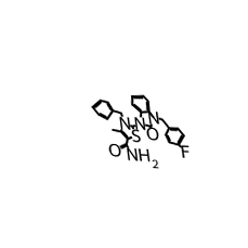 CC1=C(C(N)=O)SC(n2c(=O)n(Cc3ccc(F)cc3)c3ccccc32)N1Cc1ccccc1